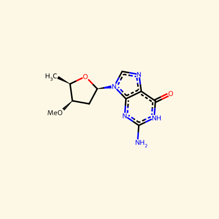 CO[C@@H]1C[C@H](n2cnc3c(=O)[nH]c(N)nc32)O[C@@H]1C